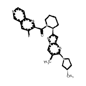 Cc1cn2nc([C@@H]3CCCCN3C(=O)c3nc4ccncc4cc3F)cc2nc1N1CC[C@H](C)C1